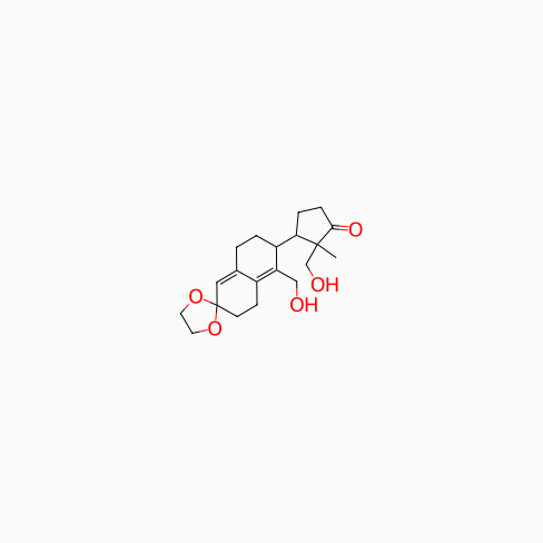 CC1(CO)C(=O)CCC1C1CCC2=CC3(CCC2=C1CO)OCCO3